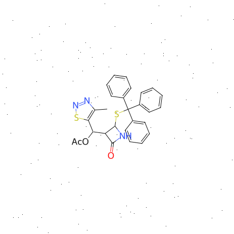 CC(=O)OC(c1snnc1C)C1C(=O)NC1SC(c1ccccc1)(c1ccccc1)c1ccccc1